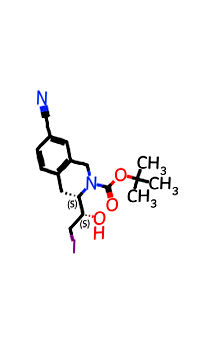 CC(C)(C)OC(=O)N1Cc2cc(C#N)ccc2C[C@H]1[C@H](O)CI